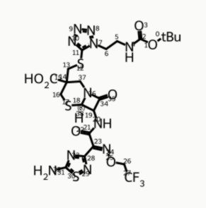 CC(C)(C)OC(=O)NCCn1nnnc1SCC1(C(=O)O)CS[C@@H]2C(NC(=O)C(=NOCC(F)(F)F)c3nsc(N)n3)C(=O)N2C1